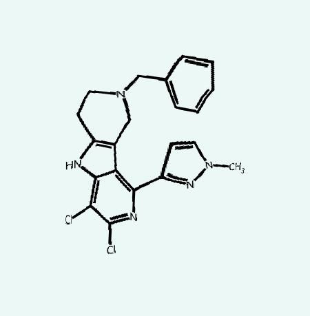 Cn1ccc(-c2nc(Cl)c(Cl)c3[nH]c4c(c23)CN(Cc2ccccc2)CC4)n1